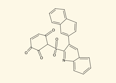 O=C1C=CC(=O)C(S(=O)(=O)c2nc3ccccc3cc2-c2ccc3ccccc3c2)C1=O